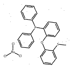 CSc1ccccc1Oc1ccccc1P(c1ccccc1)c1ccccc1.[Cl][Ru]([Cl])[Cl]